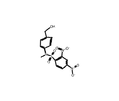 CN(c1ccc(CO)cc1)S(=O)(=O)c1ccc([N+](=O)[O-])cc1[N+](=O)[O-]